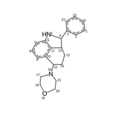 c1ccc(C2Nc3cccc4c3C2CCC4N2CCOCC2)cc1